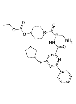 CCOC(=O)ON1CCN(C(=O)[C@H](CN)NC(=O)c2cc(OC3CCCC3)nc(-c3ccccc3)n2)CC1